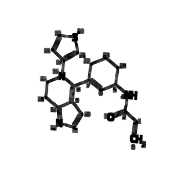 C=CC(=O)NC1C=C(C2=C3C=CN=C3CCN2c2ccsc2)CCC1